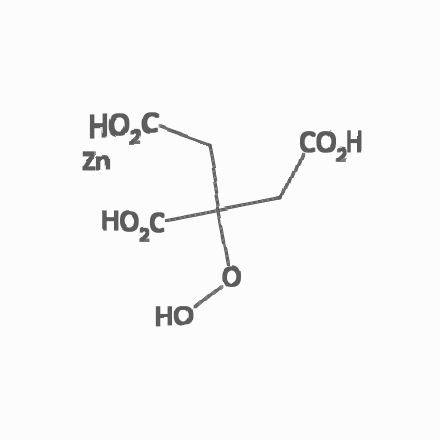 O=C(O)CC(CC(=O)O)(OO)C(=O)O.[Zn]